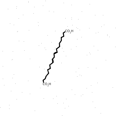 O=C(O)CCCCCCC/C=C/C/C=C/CCCCCCCC(=O)O